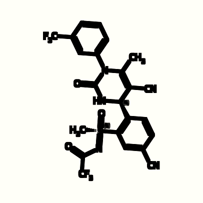 CC1=C(C#N)[C@@H](c2ccc(C#N)cc2[S@](C)(=O)=NC(=O)C(F)(F)F)NC(=O)N1c1cccc(C(F)(F)F)c1